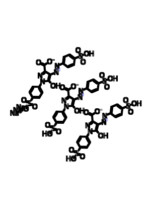 O=C([O-])c1nn(-c2ccc(S(=O)(=O)O)cc2)c(O)c1/N=N/c1ccc(S(=O)(=O)O)cc1.O=C([O-])c1nn(-c2ccc(S(=O)(=O)O)cc2)c(O)c1/N=N/c1ccc(S(=O)(=O)O)cc1.O=C([O-])c1nn(-c2ccc(S(=O)(=O)O)cc2)c(O)c1/N=N/c1ccc(S(=O)(=O)O)cc1.[Na+].[Na+].[Na+]